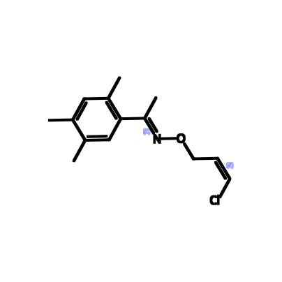 C/C(=N\OC/C=C\Cl)c1cc(C)c(C)cc1C